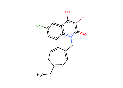 CCC1=CC=C(Cn2c(=O)c(Br)c(O)c3cc(Cl)ccc32)C=CC1